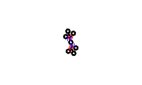 C1=CC(=NO[Si](c2ccccc2)(c2ccccc2)c2ccccc2)C=CC1=NO[Si](c1ccccc1)(c1ccccc1)c1ccccc1